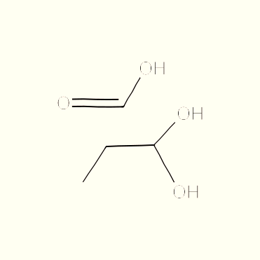 CCC(O)O.O=CO